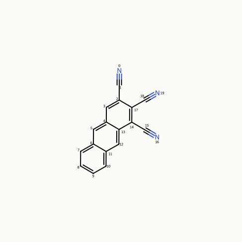 N#Cc1[c]c2cc3ccccc3cc2c(C#N)c1C#N